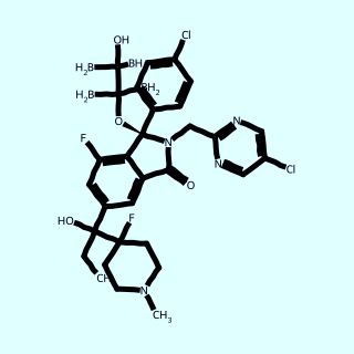 BC(B)(O)C(B)(B)O[C@]1(c2ccc(Cl)cc2)c2c(F)cc(C(O)(CC)C3(F)CCN(C)CC3)cc2C(=O)N1Cc1ncc(Cl)cn1